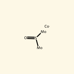 O=[S]([Mo])[Mo].[Co]